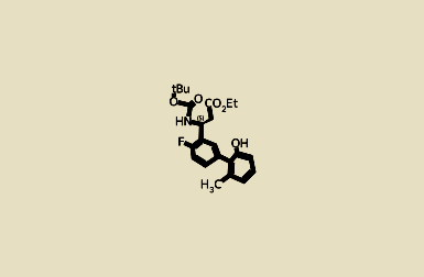 CCOC(=O)C[C@H](NC(=O)OC(C)(C)C)c1cc(-c2c(C)cccc2O)ccc1F